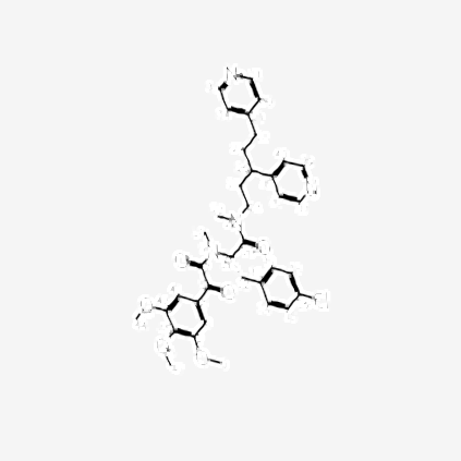 COc1cc(C(=O)C(=O)N(C)[C@@H](Cc2ccc(Cl)cc2)C(=O)N(C)CCC(CCc2ccncc2)c2ccncc2)cc(OC)c1OC